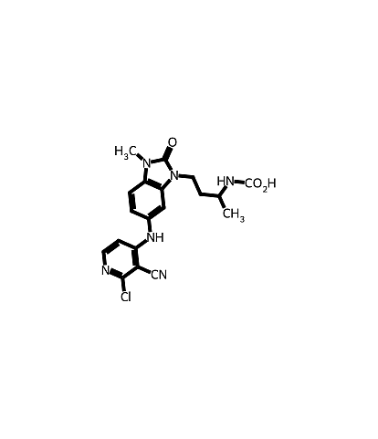 CC(CCn1c(=O)n(C)c2ccc(Nc3ccnc(Cl)c3C#N)cc21)NC(=O)O